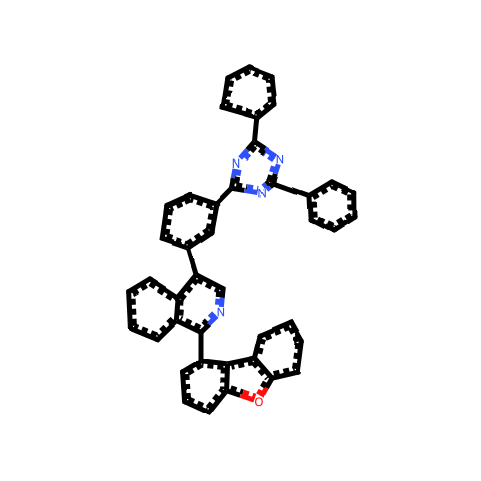 c1ccc(-c2nc(-c3ccccc3)nc(-c3cccc(-c4cnc(-c5cccc6oc7ccccc7c56)c5ccccc45)c3)n2)cc1